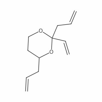 C=CCC1CCOC(C=C)(CC=C)O1